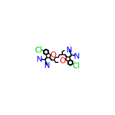 CCC(/C=C1\C(=O)c2ccc(Cl)cc2C1=C(C#N)C#N)CCC[C@](C)(/C=C1\C(=O)c2ccc(Cl)cc2C1=C(C#N)C#N)CC